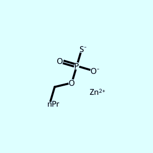 CCCCOP(=O)([O-])[S-].[Zn+2]